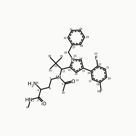 CNC(=O)C(N)CCN(C(C)=O)C(c1cc(-c2cc(F)ccc2F)cn1Cc1ccccc1)C(C)(C)C